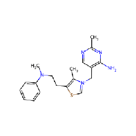 Cc1ncc(C[n+]2csc(CCN(C)c3ccccc3)c2C)c(N)n1